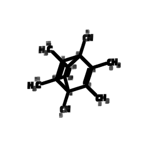 CC1=C(C)C2(C#N)C=CC1(C#N)C(C)=C2C